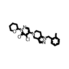 Cc1ccccc1Cn1ncc2c1CCN(c1cnn(C3CCCCO3)c(=O)c1Cl)C2